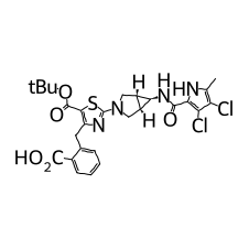 Cc1[nH]c(C(=O)N[C@H]2[C@@H]3CN(c4nc(Cc5ccccc5C(=O)O)c(C(=O)OC(C)(C)C)s4)C[C@@H]32)c(Cl)c1Cl